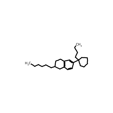 CCCCCCC1CCc2cc(C3(CCCC)CCCCC3)ccc2C1